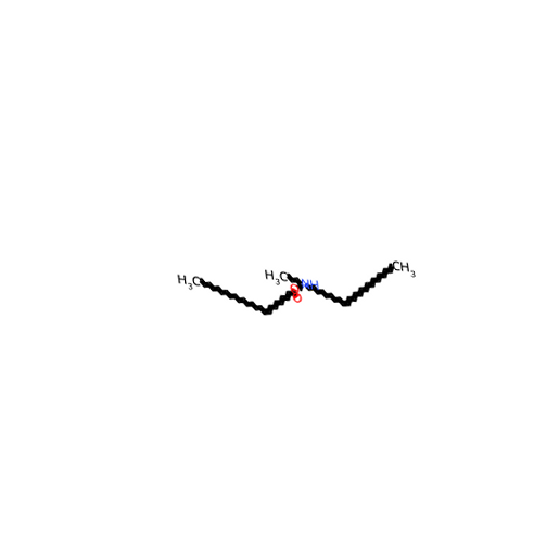 CCCCCCCCCCCCCCCC/C=C\CCCCCCCCNC(CCCC)COC(=O)CCCCCCC/C=C\CCCCCCCCCCCCCCCC